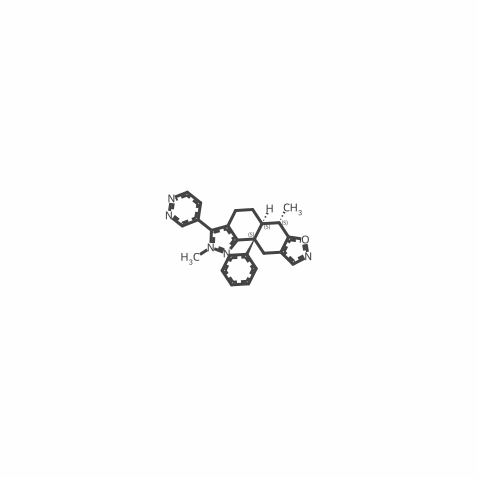 C[C@@H]1c2oncc2C[C@]2(c3ccccc3)c3nn(C)c(-c4ccnnc4)c3CC[C@@H]12